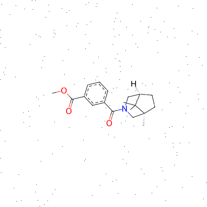 COC(=O)c1cccc(C(=O)N2C[C@H]3CC[C@@](C)(C2)C3(C)C)c1